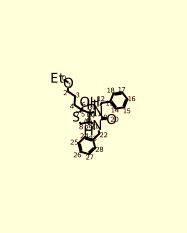 CCOCCCC1(O)SC[C@@H]2[C@H]1N(Cc1ccccc1)C(=O)N2Cc1ccccc1